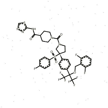 O=C(Nc1nncs1)C1CCN(C(=O)N2CC[C@](c3ccc(C(OCc4c(F)cccc4F)(C(F)(F)F)C(F)(F)F)cc3)(S(=O)(=O)c3ccc(F)cc3)C2)CC1